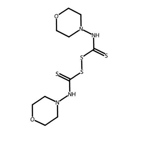 S=C(NN1CCOCC1)SSC(=S)NN1CCOCC1